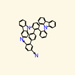 N#Cc1ccc(C#N)c(-c2ccc(-c3c(-c4ccccc4-n4c5ccccc5c5ccccc54)cccc3-n3c4ccccc4c4ccccc43)cc2)c1